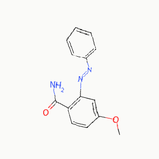 COc1ccc(C(N)=O)c(N=Nc2ccccc2)c1